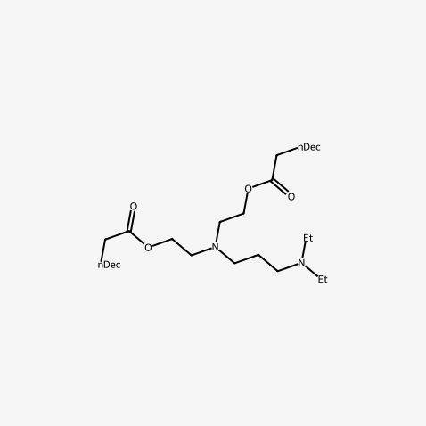 CCCCCCCCCCCC(=O)OCCN(CCCN(CC)CC)CCOC(=O)CCCCCCCCCCC